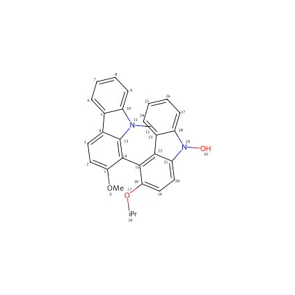 COc1ccc2c3ccccc3n(C)c2c1-c1c(OC(C)C)ccc2c1c1ccccc1n2O